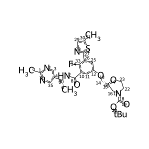 Cc1ncc([C@@H](C)NC(=O)c2cc(OC[C@H]3CN(C(=O)OC(C)(C)C)CCO3)cc(-c3ncc(C)s3)c2F)cn1